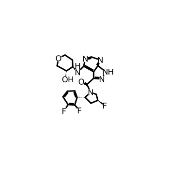 O=C(c1n[nH]c2ncnc(N[C@@H]3CCOC[C@H]3O)c12)N1C[C@@H](F)C[C@@H]1c1cccc(F)c1F